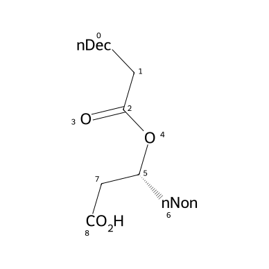 CCCCCCCCCCCC(=O)O[C@H](CCCCCCCCC)CC(=O)O